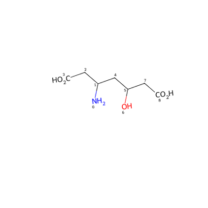 NC(CC(=O)O)CC(O)CC(=O)O